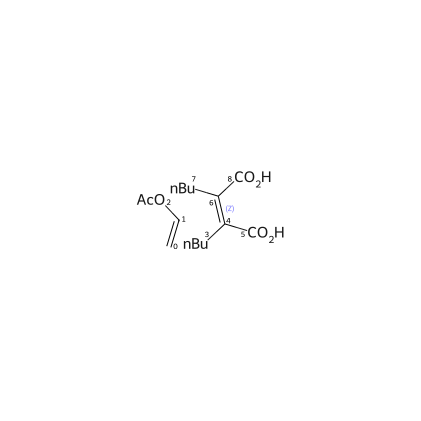 C=COC(C)=O.CCCC/C(C(=O)O)=C(\CCCC)C(=O)O